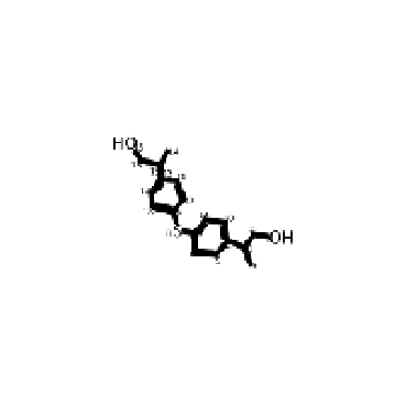 CC(CO)c1ccc(Sc2ccc(C(C)CO)cc2)cc1